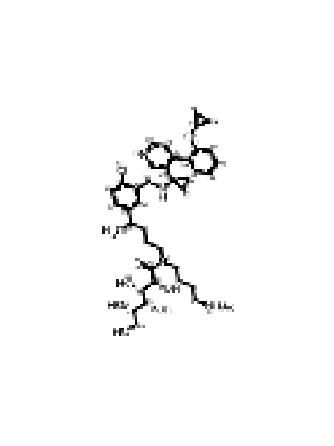 CC(=O)NCCCCN(CCCC(C)c1ccc(Cl)c(CNC2(c3cnccc3-c3ccccc3OC3CC3)CC2)c1)C(=O)[C@@H](O)[C@@H](O)[C@H](O)[C@@H](O)CO